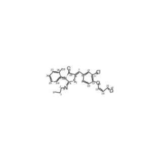 CCC/N=C1/S/C(=C\c2ccc(O/C=C\C=O)c(Cl)c2)C(=O)N1c1ccccc1C